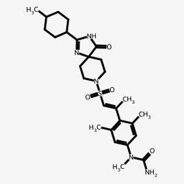 CC(=CS(=O)(=O)N1CCC2(CC1)N=C(C1CCC(C)CC1)NC2=O)c1c(C)cc(N(C)C(N)=O)cc1C